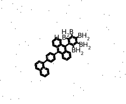 Bc1c(B)c(B)c(-c2c3ccccc3c(-c3ccc(-c4cccc5ccccc45)cc3)c3ccccc23)c(B)c1B